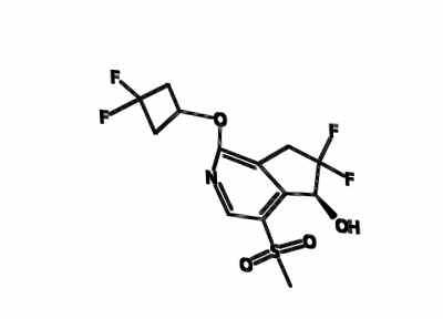 CS(=O)(=O)c1cnc(OC2CC(F)(F)C2)c2c1[C@H](O)C(F)(F)C2